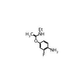 C=C(NCC)Oc1ccc(N)c(F)c1